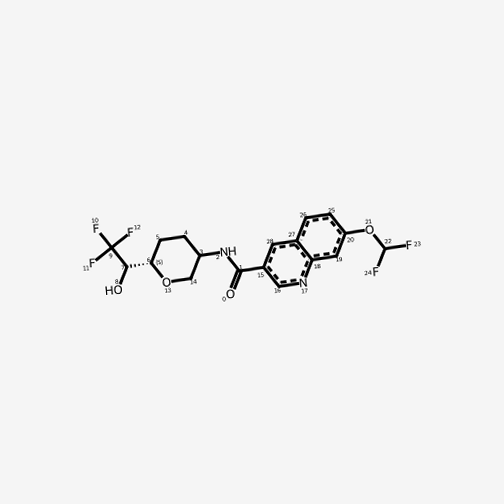 O=C(NC1CC[C@@H](C(O)C(F)(F)F)OC1)c1cnc2cc(OC(F)F)ccc2c1